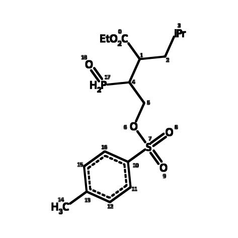 CCOC(=O)C(CC(C)C)C(COS(=O)(=O)c1ccc(C)cc1)[PH2]=O